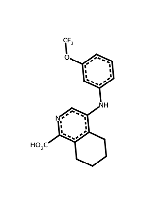 O=C(O)c1ncc(Nc2cccc(OC(F)(F)F)c2)c2c1CCCC2